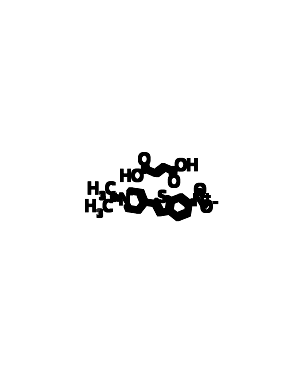 CC(C)N1CC=C(c2cc3ccc([N+](=O)[O-])cc3s2)CC1.O=C(O)C=CC(=O)O